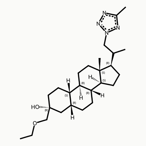 CCOC[C@@]1(O)CC[C@H]2[C@H](CC[C@@H]3[C@@H]2CC[C@]2(C)[C@@H](C(C)Cn4nnc(C)n4)CC[C@@H]32)C1